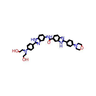 O=C(Nc1ccc2[nH]c(-c3ccc(N(CCO)CCO)cc3)nc2c1)c1ccc2nc(-c3ccc(N4CCOCC4)cc3)[nH]c2c1